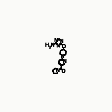 Nc1ncnc(OC2CCN(c3ccc(C(=O)N4CCCC4)cn3)CC2)n1